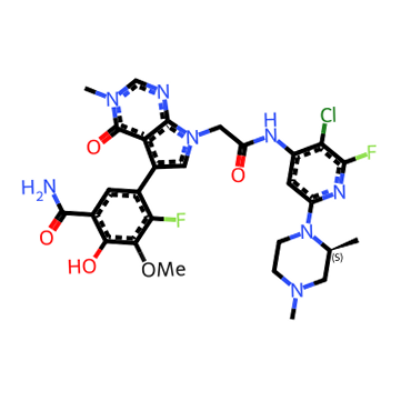 COc1c(O)c(C(N)=O)cc(-c2cn(CC(=O)Nc3cc(N4CCN(C)C[C@@H]4C)nc(F)c3Cl)c3ncn(C)c(=O)c23)c1F